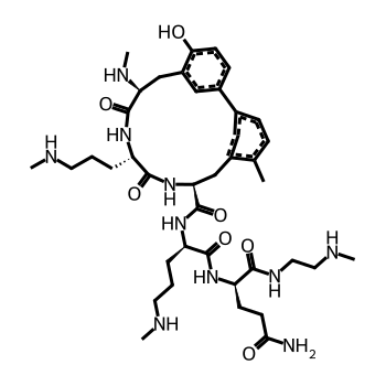 CNCCC[C@@H]1NC(=O)[C@@H](NC)Cc2cc(ccc2O)-c2ccc(C)c(c2)C[C@@H](C(=O)N[C@H](CCCNC)C(=O)N[C@H](CCC(N)=O)C(=O)NCCNC)NC1=O